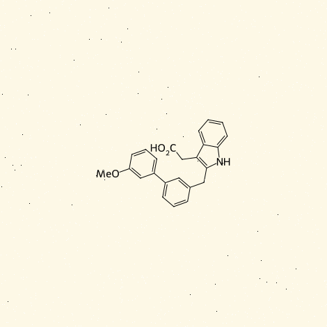 COc1cccc(-c2cccc(Cc3[nH]c4ccccc4c3CC(=O)O)c2)c1